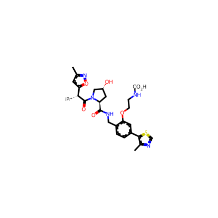 Cc1cc([C@H](C(=O)N2C[C@H](O)C[C@H]2C(=O)NCc2ccc(-c3scnc3C)cc2OCCNC(=O)O)C(C)C)on1